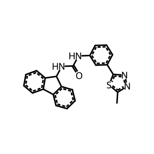 Cc1nnc(-c2cccc(NC(=O)NC3c4ccccc4-c4ccccc43)c2)s1